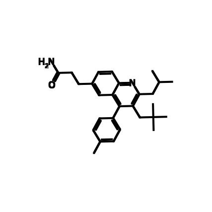 Cc1ccc(-c2c(CC(C)(C)C)c(CC(C)C)nc3ccc(CCC(N)=O)cc23)cc1